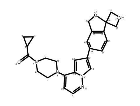 O=C(C1CC1)N1CCN(c2ccnn3cc(-c4ccc5c(c4)COC54CNC4)cc23)CC1